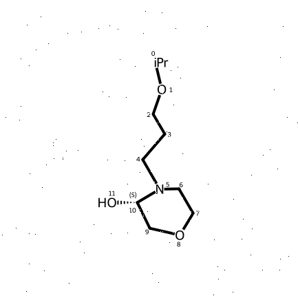 CC(C)OCCCN1CCOC[C@@H]1O